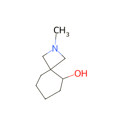 CN1CC2(CCCCC2O)C1